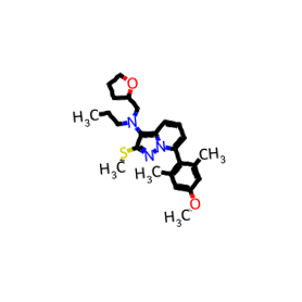 CCCN(CC1CCCO1)c1c(SC)nn2c(-c3c(C)cc(OC)cc3C)cccc12